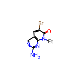 CCn1c(=O)c(Br)cc2cnc(N)nc21